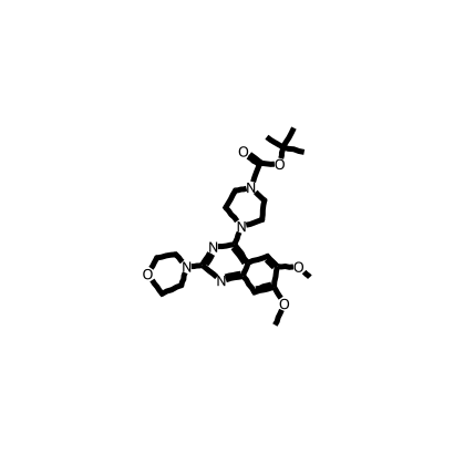 COc1cc2nc(N3CCOCC3)nc(N3CCN(C(=O)OC(C)(C)C)CC3)c2cc1OC